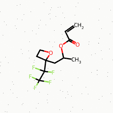 C=CC(=O)OC(C)CC1(C(F)(F)C(F)(F)F)CCO1